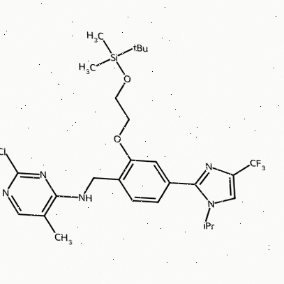 Cc1cnc(Cl)nc1NCc1ccc(-c2nc(C(F)(F)F)cn2C(C)C)cc1OCCO[Si](C)(C)C(C)(C)C